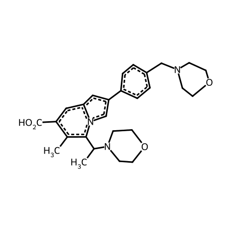 Cc1c(C(=O)O)cc2cc(-c3ccc(CN4CCOCC4)cc3)cn2c1C(C)N1CCOCC1